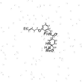 CCC=CCCOc1cccc(CNC(=O)C2=CNC(N)(COC)C=C2)c1F